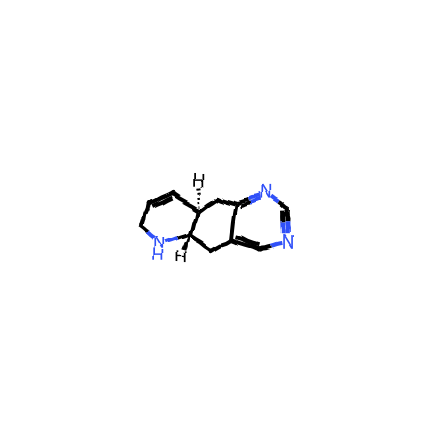 C1=C[C@H]2Cc3ncncc3C[C@@H]2NC1